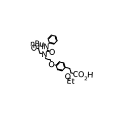 CCCCOCCN(CCOc1ccc(CC(OCC)C(=O)O)cc1)C(=O)Nc1ccccc1